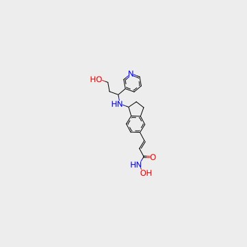 O=C(C=Cc1ccc2c(c1)CCC2NC(CCO)c1cccnc1)NO